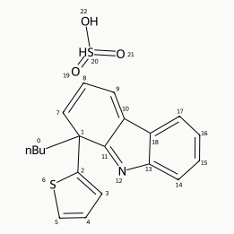 CCCCC1(c2cccs2)C=CC=C2C1=Nc1ccccc12.O=[SH](=O)O